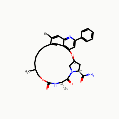 CCc1cc2nc(-c3ccccc3)cc3c2cc1CCCCC(C)COC(=O)N[C@@H](C(C)(C)C)C(=O)N1C[C@@H](C[C@H]1C(N)=O)O3